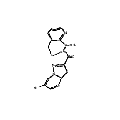 CN1c2ncccc2CCN1C(=O)C1=NN2C=C(Br)C=NC2C1